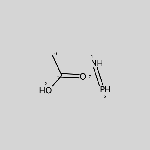 CC(=O)O.N=P